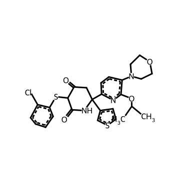 CC(C)Oc1nc(C2(c3ccsc3)CC(=O)C(Sc3ccccc3Cl)C(=O)N2)ccc1N1CCOCC1